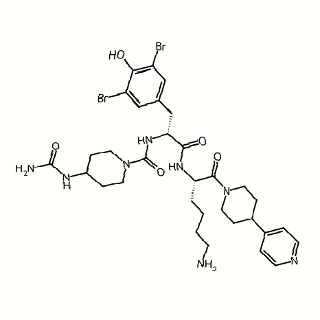 NCCCC[C@H](NC(=O)[C@@H](Cc1cc(Br)c(O)c(Br)c1)NC(=O)N1CCC(NC(N)=O)CC1)C(=O)N1CCC(c2ccncc2)CC1